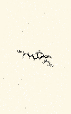 COC(=O)/C=C/c1cc2cc(C(N)C(=O)OC(C)(C)C)ccc2s1